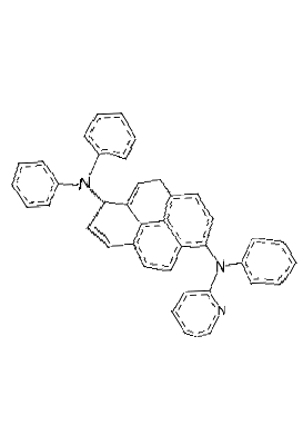 C1=CC(N(c2ccccc2)c2ccccc2)C2=CCc3ccc(N(c4ccccc4)c4ccccn4)c4ccc1c2c34